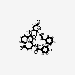 O=C1CC(NC(=O)C2CCCN3C(=O)CCC(NC(=O)c4ccccc4)C(=O)N23)C(OCCc2ccccc2)O1